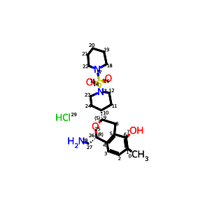 Cc1ccc2c(c1O)C[C@@H](C1CCN(S(=O)(=O)N3CCCCC3)CC1)O[C@H]2CN.Cl